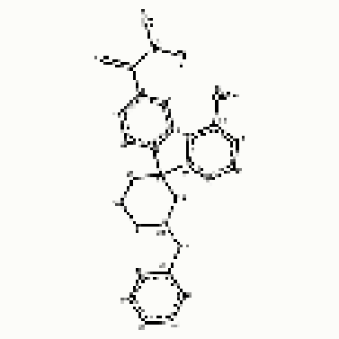 CCN(CC)C(=O)c1ccc(C2(c3cccc(OC)c3)CCCN(Cc3ccccc3)C2)cc1